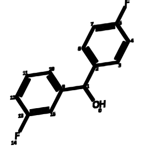 OC(c1ccc(F)cc1)c1cccc(F)c1